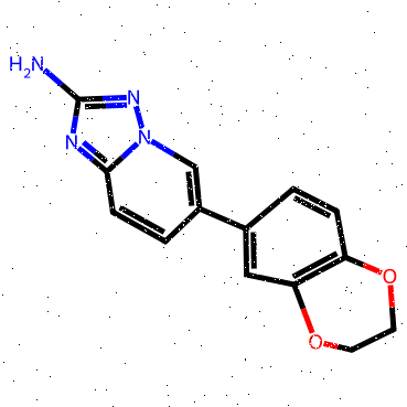 Nc1nc2ccc(-c3ccc4c(c3)OCCO4)cn2n1